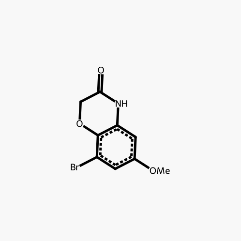 COc1cc(Br)c2c(c1)NC(=O)CO2